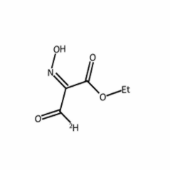 [2H]C(=O)/C(=N/O)C(=O)OCC